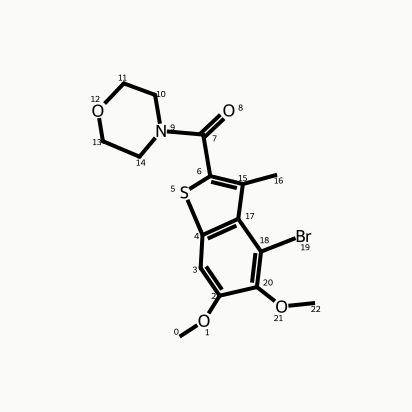 COc1cc2sc(C(=O)N3CCOCC3)c(C)c2c(Br)c1OC